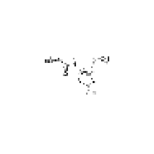 CC(C)(C)OC(=O)N[C@H]1CN(C(=O)O)C[C@H]1CO